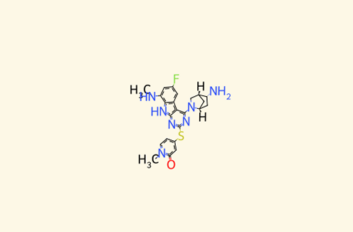 CNc1cc(F)cc2c1[nH]c1nc(Sc3ccn(C)c(=O)c3)nc(N3C[C@H]4C[C@@H]3C[C@H]4N)c12